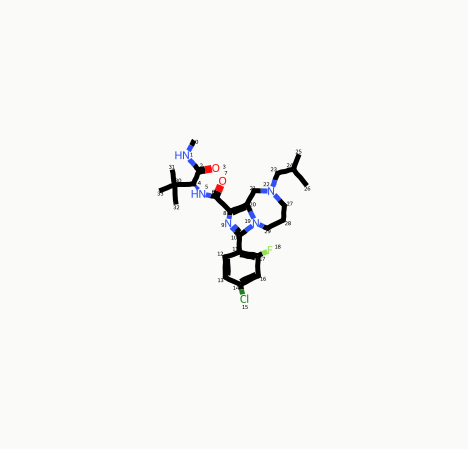 CNC(=O)[C@@H](NC(=O)c1nc(-c2ccc(Cl)cc2F)n2c1CN(CC(C)C)CCC2)C(C)(C)C